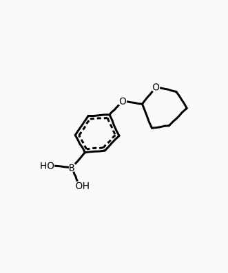 OB(O)c1ccc(OC2CCCCO2)cc1